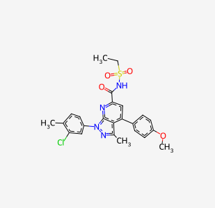 CCS(=O)(=O)NC(=O)c1cc(-c2ccc(OC)cc2)c2c(C)nn(-c3ccc(C)c(Cl)c3)c2n1